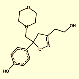 OCCC1=NOC(CN2CCOCC2)(c2ccc(O)cc2)C1